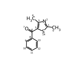 Cc1nc(C)c(C(=O)c2ccccc2)s1